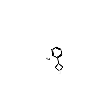 Cl.c1ncc(C2CNC2)cn1